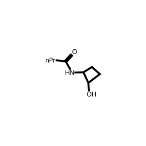 CCCC(=O)NC1CCC1O